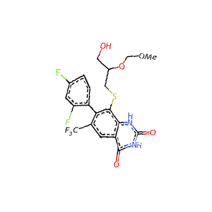 COCOC(CO)CSc1c(-c2ccc(F)cc2F)c(C(F)(F)F)cc2c(=O)[nH]c(=O)[nH]c12